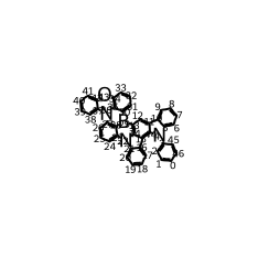 c1ccc(-n2c3ccccc3c3cc4c5c(c6ccccc6n5-c5cccc6c5B4c4cccc5c4N6c4ccccc4O5)c32)cc1